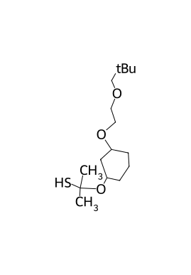 CC(C)(C)COCCOC1CCCC(OC(C)(C)S)C1